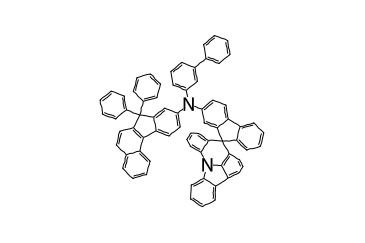 c1ccc(-c2cccc(N(c3ccc4c(c3)C(c3ccccc3)(c3ccccc3)c3ccc5ccccc5c3-4)c3ccc4c(c3)C3(c5ccccc5-4)c4ccccc4-n4c5ccccc5c5cccc3c54)c2)cc1